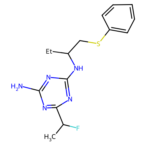 CCC(CSc1ccccc1)Nc1nc(N)nc(C(C)F)n1